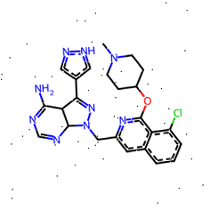 CN1CCC(Oc2nc(CN3N=C(c4cn[nH]c4)C4C(N)=NC=NC43)cc3cccc(Cl)c23)CC1